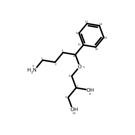 NCCCC(OCC(O)CO)c1ccccc1